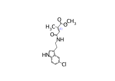 COC(=O)/C(C)=C/C(=O)NCCc1c[nH]c2ccc(Cl)cc12